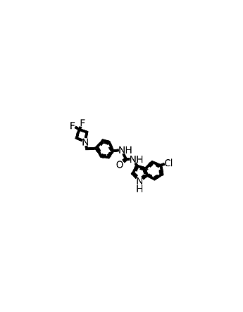 O=C(Nc1ccc(CN2CC(F)(F)C2)cc1)Nc1c[nH]c2ccc(Cl)cc12